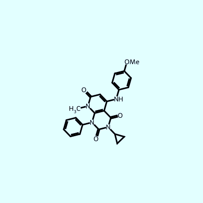 COc1ccc(Nc2cc(=O)n(C)c3c2c(=O)n(C2CC2)c(=O)n3-c2ccccc2)cc1